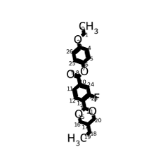 CCOc1ccc(OC(=O)c2ccc(C3OCC(CC)CO3)c(F)c2)cc1